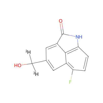 [2H]C([2H])(O)c1cc2c3c(ccc(F)c3c1)NC2=O